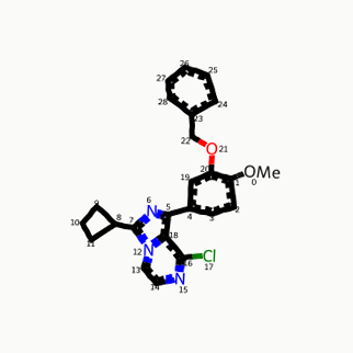 COc1ccc(-c2nc(C3CCC3)n3ccnc(Cl)c23)cc1OCc1ccccc1